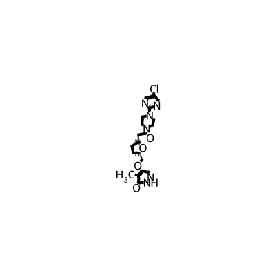 Cc1c(OC[C@@H]2CC[C@@H](CC(=O)N3CCN(c4ncc(Cl)cn4)CC3)O2)cn[nH]c1=O